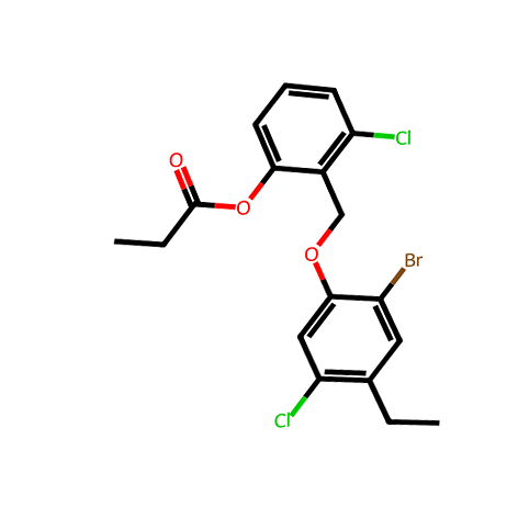 CCC(=O)Oc1cccc(Cl)c1COc1cc(Cl)c(CC)cc1Br